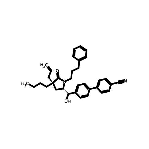 C=CC[C@]1(CCCC)C[C@@H](C(O)c2ccc(-c3ccc(C#N)cc3)cc2)N(CCCc2ccccc2)C1=O